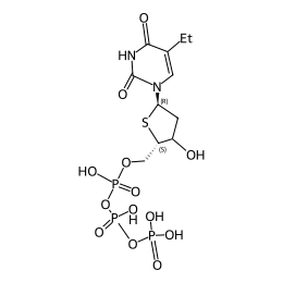 CCc1cn([C@H]2CC(O)[C@H](COP(=O)(O)OP(=O)(O)OP(=O)(O)O)S2)c(=O)[nH]c1=O